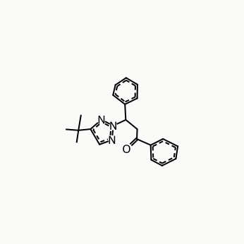 CC(C)(C)c1cnn(C(CC(=O)c2ccccc2)c2ccccc2)n1